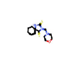 S=C1NC2(CCCCC2)C(=S)N1CN1CCOCC1